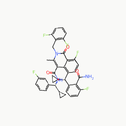 Cc1c(C(=O)N[C@H](c2cccc(F)c2)C2CC2)c2c([C@@H](c3cccc(F)c3C(N)=O)C3CC3)ccc(F)c2c(=O)n1Cc1c(F)cccc1F